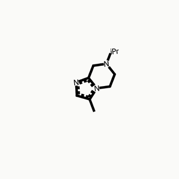 Cc1cnc2n1CCN(C(C)C)C2